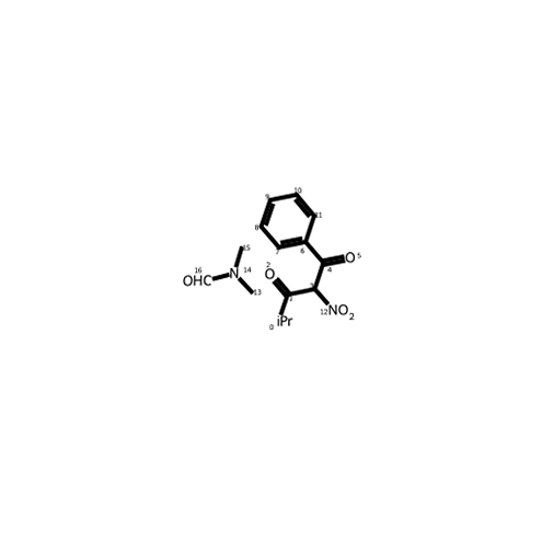 CC(C)C(=O)C(C(=O)c1ccccc1)[N+](=O)[O-].CN(C)C=O